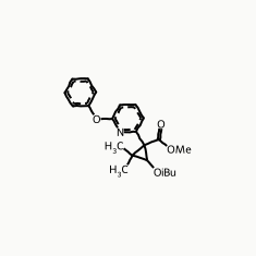 COC(=O)C1(c2cccc(Oc3ccccc3)n2)C(OCC(C)C)C1(C)C